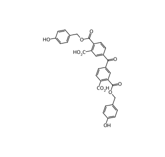 O=C(c1ccc(C(=O)OCc2ccc(O)cc2)c(C(=O)O)c1)c1ccc(C(=O)O)c(C(=O)OCc2ccc(O)cc2)c1